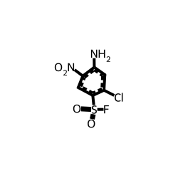 Nc1cc(Cl)c(S(=O)(=O)F)cc1[N+](=O)[O-]